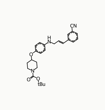 CC(C)(C)OC(=O)N1CCC(Oc2ccc(NCC=Cc3cccc(C#N)c3)cc2)CC1